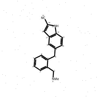 CNCc1ccccc1Cc1ccc2[nH]c(C#N)cc2c1